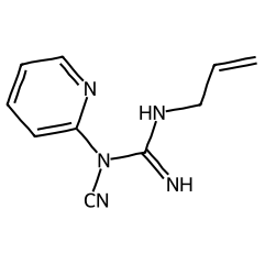 C=CCNC(=N)N(C#N)c1ccccn1